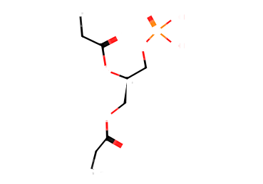 CCCCCCCCCCCC(=O)OC[C@H](COP(=O)(O)O)OC(=O)CCCCCCCCCCC